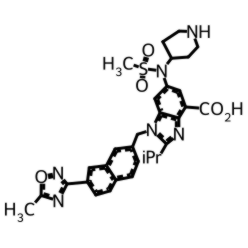 Cc1nc(-c2ccc3ccc(Cn4c(C(C)C)nc5c(C(=O)O)cc(N(C6CCNCC6)S(C)(=O)=O)cc54)cc3c2)no1